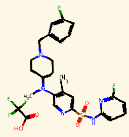 Cc1cc(S(=O)(=O)Nc2cccc(F)n2)ncc1N(C)C1CCN(Cc2cccc(F)c2)CC1.O=C(O)C(F)(F)F